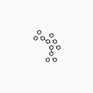 c1ccc(N(c2ccccc2)c2ccc(-c3ccc4c(c3)N(c3ccccc3)c3cccc5c3B4c3ccc(-c4ccc(N(c6ccccc6)c6ccccc6)cc4)cc3N5c3ccccc3)cc2)cc1